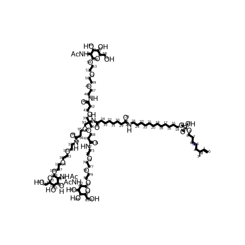 C=C[C@@H](C)C/C=C/CCOP(=O)(O)OCCCCCCCCCCCCNC(=O)CCCCCCC(=O)NC(COCCC(=O)NCCOCCOCCOC1OC(CO)C(O)C(O)C1NC(C)=O)(COCCC(=O)NCCOCCOCCOC1OC(CO)C(O)C(O)C1NC(C)=O)COCCC(=O)NCCOCCOCCOC1OC(CO)C(O)C(O)C1NC(C)=O